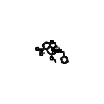 CCOC(=O)Cc1c([N+](=O)[O-])ccc2c1O[C@@H](CNCc1ccccc1)CO2